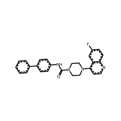 O=C(Nc1ccc(-c2ccccc2)cc1)N1CCN(c2ccnc3ccc(F)cc23)CC1